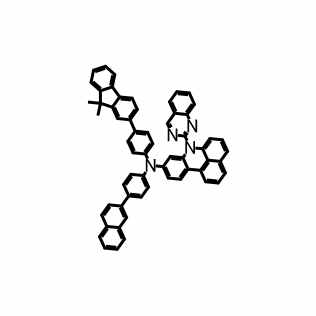 CC1(C)c2ccccc2-c2ccc(-c3ccc(N(c4ccc(-c5ccc6ccccc6c5)cc4)c4ccc5c(c4)N(c4ncc6ccccc6n4)c4cccc6cccc-5c46)cc3)cc21